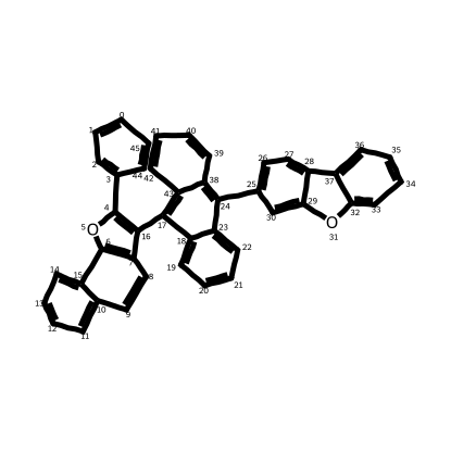 c1ccc(-c2oc3c(ccc4ccccc43)c2-c2c3ccccc3c(-c3ccc4c(c3)oc3ccccc34)c3ccccc23)cc1